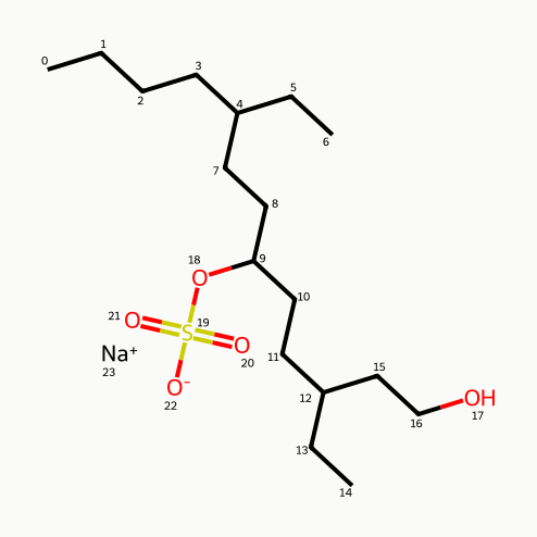 CCCCC(CC)CCC(CCC(CC)CCO)OS(=O)(=O)[O-].[Na+]